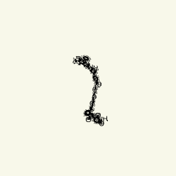 CC(=O)c1c(C)c2cnc(Nc3ccc(N4CCN(C(=O)CCOCCOCCOCCSc5cccc6c5CN(C5CCC(=O)NC5=O)C6=O)CC4)cn3)nc2n(C2CCCC2)c1=O